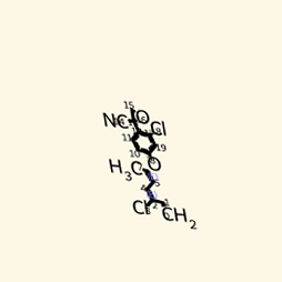 C=C/C(Cl)=C\C=C(/C)Oc1ccc(C2(C#N)CO2)c(Cl)c1